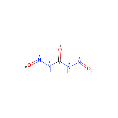 O=NNC(=O)NN=O